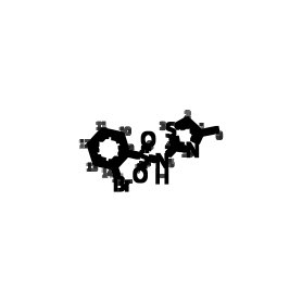 Cc1csc(NS(=O)(=O)c2ccccc2Br)n1